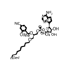 CCCCCCCCCCCCCCCCCCOC[C@H](COP(=O)(O)OC[C@@]1(C#N)O[C@@H](c2ccc3c(N)ncnn23)[C@H](O)[C@@H]1O)OCc1ccc(C#N)cc1OC